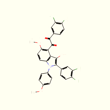 CC(C)Oc1ccc(-n2c(-c3ccc(Cl)c(Cl)c3)c(O)c3c(C(=O)C(=O)c4ccc(Cl)c(Cl)c4)c(OC(C)C)ccc32)cc1